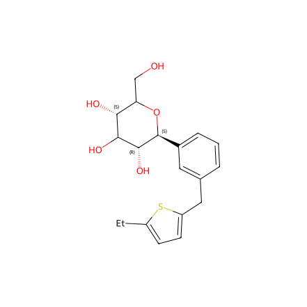 CCc1ccc(Cc2cccc([C@@H]3OC(CO)[C@@H](O)C(O)[C@H]3O)c2)s1